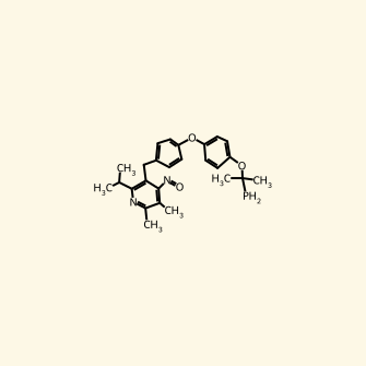 Cc1nc(C(C)C)c(Cc2ccc(Oc3ccc(OC(C)(C)P)cc3)cc2)c(N=O)c1C